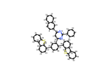 c1ccc(-c2nc(-c3ccc4ccccc4c3)cc(-c3cc(-c4cccc5c4sc4ccccc45)ccc3-c3cccc4c3sc3ccccc34)n2)cc1